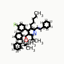 CCCCCc1c(/C=C/c2ccccc2)nc(C(C)C)c(CO[Si](c2ccccc2)(c2ccccc2)C(C)(C)C)c1-c1ccc(F)cc1